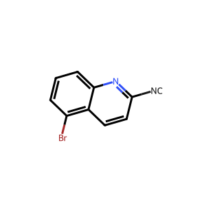 [C-]#[N+]c1ccc2c(Br)cccc2n1